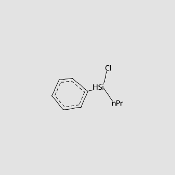 CCC[SiH](Cl)c1ccccc1